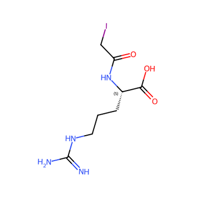 N=C(N)NCCC[C@H](NC(=O)CI)C(=O)O